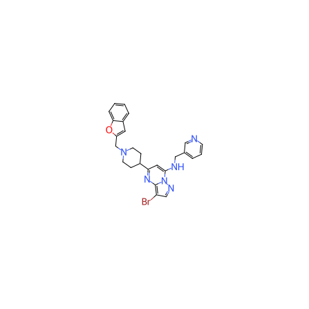 Brc1cnn2c(NCc3cccnc3)cc(C3CCN(Cc4cc5ccccc5o4)CC3)nc12